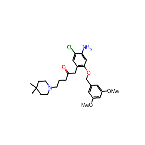 COc1cc(COc2cc(N)c(Cl)cc2CC(=O)CCCN2CCC(C)(C)CC2)cc(OC)c1